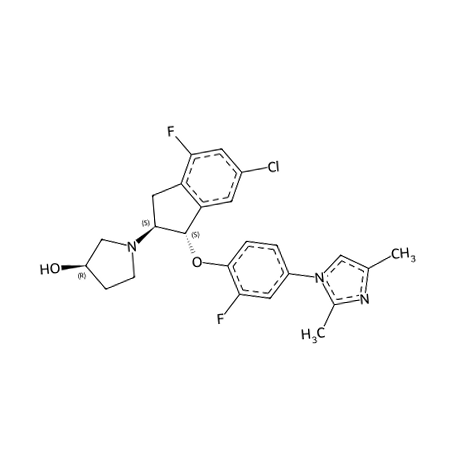 Cc1cn(-c2ccc(O[C@H]3c4cc(Cl)cc(F)c4C[C@@H]3N3CC[C@@H](O)C3)c(F)c2)c(C)n1